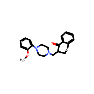 COc1ccccc1N1CCN(CC2CCc3ccccc3C2=O)CC1